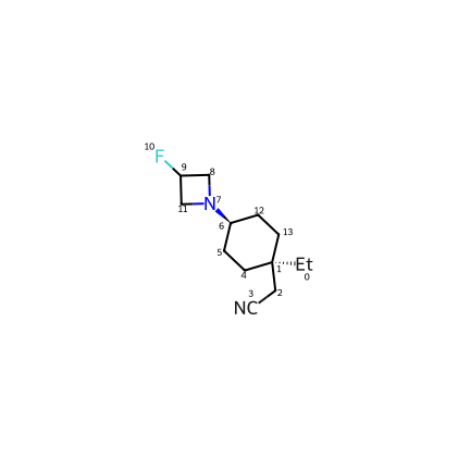 CC[C@]1(CC#N)CC[C@@H](N2CC(F)C2)CC1